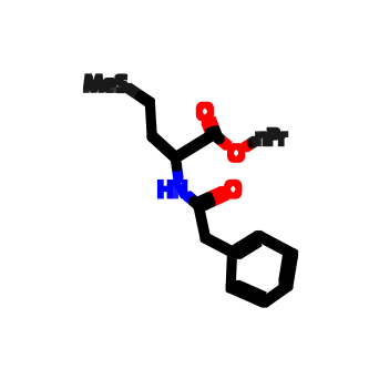 CCCOC(=O)C(CCSC)NC(=O)Cc1ccccc1